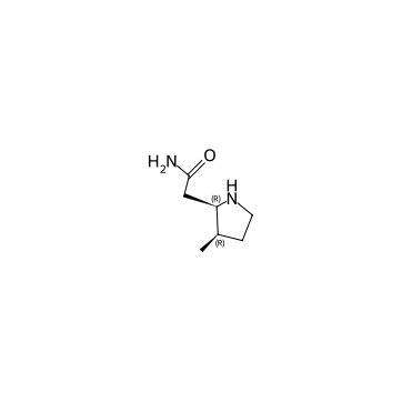 C[C@@H]1CCN[C@@H]1CC(N)=O